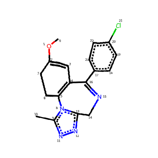 COC1=CC2=C(CC1)n1c(C)nnc1CN=C2c1ccc(Cl)cc1